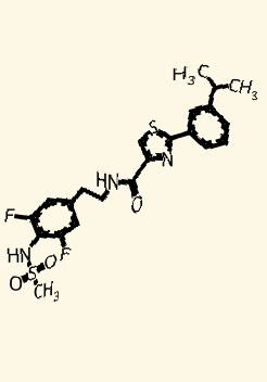 CC(C)c1cccc(-c2nc(C(=O)NCCc3cc(F)c(NS(C)(=O)=O)c(F)c3)cs2)c1